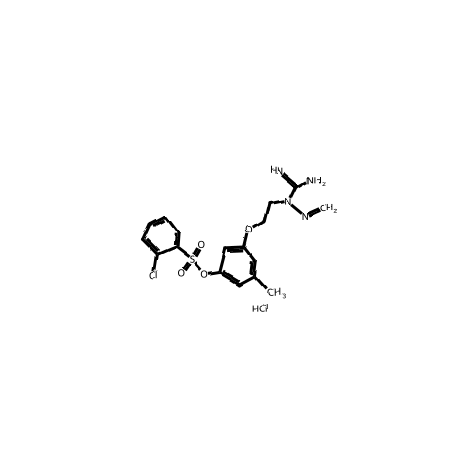 C=NN(CCOc1cc(C)cc(OS(=O)(=O)c2ccccc2Cl)c1)C(=N)N.Cl